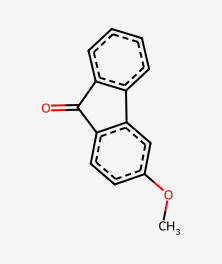 COc1ccc2c(c1)-c1ccccc1C2=O